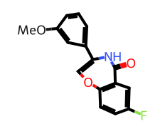 COc1cccc(C2=COc3ccc(F)cc3C(=O)N2)c1